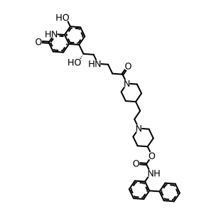 O=C(Nc1ccccc1-c1ccccc1)OC1CCN(CCC2CCN(C(=O)CCNC[C@H](O)c3ccc(O)c4[nH]c(=O)ccc34)CC2)CC1